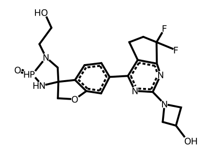 O=[PH]1NC2(COc3cc(-c4nc(N5CC(O)C5)nc5c4CCC5(F)F)ccc32)CN1CCO